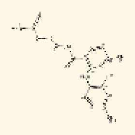 COC(=O)CCONC(=O)c1ccc(C#N)cc1Nc1ccc(C)cc1F